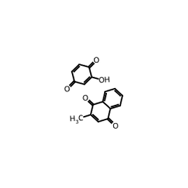 CC1=CC(=O)c2ccccc2C1=O.O=C1C=CC(=O)C(O)=C1